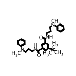 CN(CCCNC(=O)c1cc(C(=O)NCCCN(C)c2ccccc2)cc(C(C)(C)C)c1)c1ccccc1